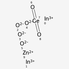 [In+3].[In+3].[O-2].[O-2].[O-2].[O-2].[O]=[Ge]=[O].[Zn+2]